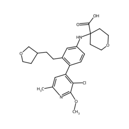 COc1nc(C)cc(-c2ccc(NC3(C(=O)O)CCOCC3)cc2CCC2CCOC2)c1Cl